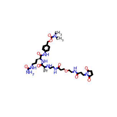 CC(C)[C@H](NCCNC(=O)CCOCCNC(=O)CCN1C(=O)C=CC1=O)C(=O)N[C@@H](CCCNC(N)=O)C(=O)Nc1ccc(COC(=O)N(C)C)cc1